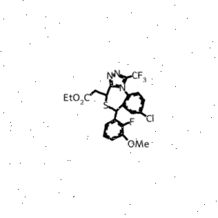 CCOC(=O)CC1SC(c2cccc(OC)c2F)c2cc(Cl)ccc2-n2c1nnc2C(F)(F)F